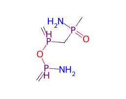 C=[PH](N)O[PH](=C)CP(C)(N)=O